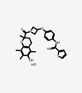 Cc1c(C)c2c(c(C)c1O)CCC(C)(C(=O)N1CC(Oc3ccc(NC(=N)c4cccs4)cc3)C1)O2.Cl